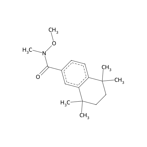 CON(C)C(=O)c1ccc2c(c1)C(C)(C)CCC2(C)C